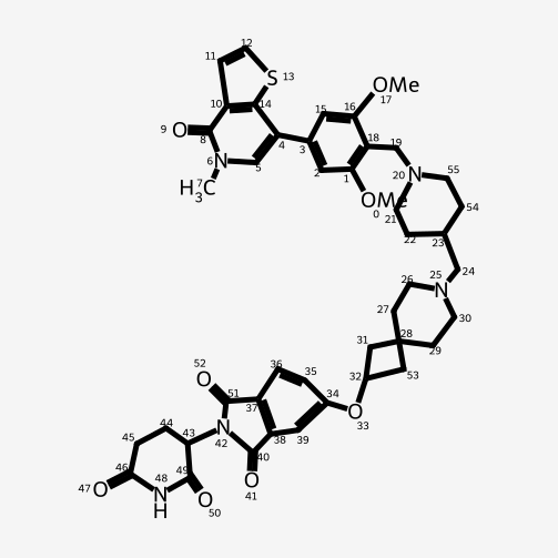 COc1cc(-c2cn(C)c(=O)c3ccsc23)cc(OC)c1CN1CCC(CN2CCC3(CC2)CC(Oc2ccc4c(c2)C(=O)N(C2CCC(=O)NC2=O)C4=O)C3)CC1